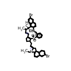 C=C(/C=C/C1=C(S(=O)(=O)c2ccccc2)C(C/C=C2\Cc3c(ccc4cc(Br)ccc34)N2CC)CC1)C(C)(C)c1c(NCC)ccc2cc(Br)ccc12